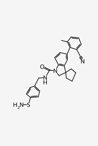 Cc1cccc(C#N)c1-c1ccc2c(c1)C1(CCCC1)CN2C(=O)NCc1ccc(SN)cc1